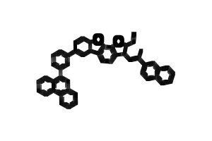 C=CC1Oc2c(ccc3c2OC2C=CC(c4cccc(-c5cc6ccccc6c6ccccc56)c4)=CC32)C1/C=C(\C)c1ccc2ccccc2c1